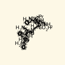 CC(C)C[C@@H](NC(=O)[C@H](N)Cc1ccccc1)C(=O)N[C@H](CCCN)C(=O)N[C@H](CCCCNC(=O)[C@@H](CCCCN)NC(=O)[C@@H](CC(C)C)NC(=O)[C@@H](CCc1ccccc1)NC(=O)[C@H](N)Cc1ccccc1)C(=O)O